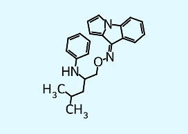 CC(C)CC(CON=C1c2ccccc2-n2cccc21)Nc1ccccc1